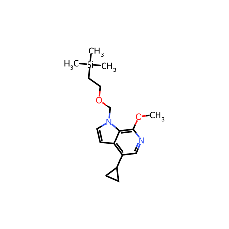 COc1ncc(C2CC2)c2ccn(COCC[Si](C)(C)C)c12